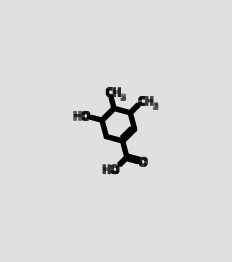 CC1C=C(C(=O)O)CC(O)C1C